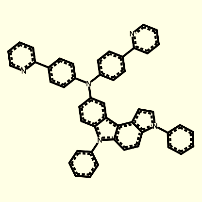 c1ccc(-n2ccc3c4c5cc(N(c6ccc(-c7ccccn7)cc6)c6ccc(-c7ccccn7)cc6)ccc5n(-c5ccccc5)c4ccc32)cc1